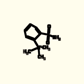 C[N+](C)(C)c1ccccc1S(N)(=O)=O